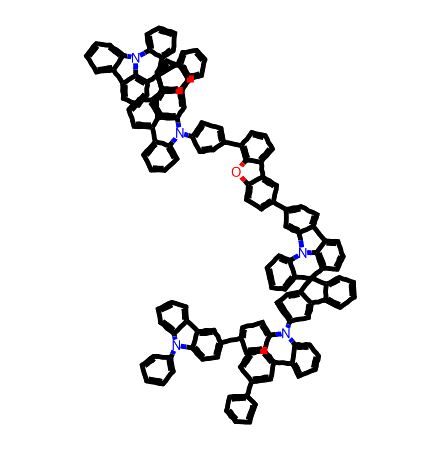 c1ccc(-c2cccc(-c3ccccc3N(c3ccc(-c4cccc5c4oc4ccc(-c6ccc7c8cccc9c8n(c7c6)-c6ccccc6C96c7ccccc7-c7cc(N(c8ccc(-c9ccc%10c(c9)c9ccccc9n%10-c9ccccc9)cc8)c8ccccc8-c8cccc(-c9ccccc9)c8)ccc76)cc45)cc3)c3ccc4c(c3)-c3ccccc3C43c4ccccc4-n4c5ccccc5c5cccc3c54)c2)cc1